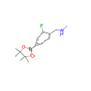 CNCc1ccc(B2OC(C)(C)C(C)(C)O2)cc1F